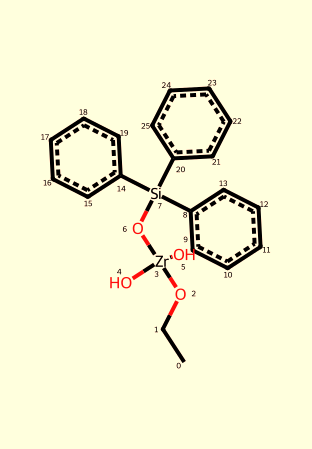 CC[O][Zr]([OH])([OH])[O][Si](c1ccccc1)(c1ccccc1)c1ccccc1